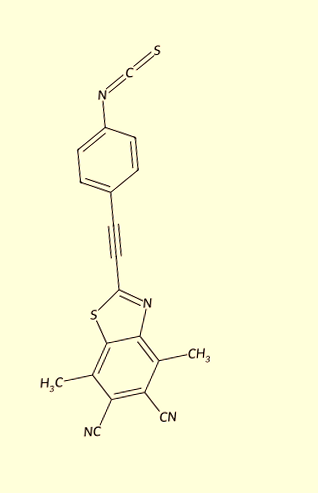 Cc1c(C#N)c(C#N)c(C)c2sc(C#Cc3ccc(N=C=S)cc3)nc12